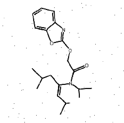 CC(C)/C=C(/CC(C)C)N(C(=O)COc1nc2ccccc2o1)C(C)C